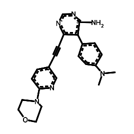 CN(C)c1ccc(-c2c(N)ncnc2C#Cc2ccc(N3CCOCC3)nc2)cc1